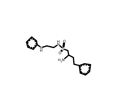 NC(CCc1ccccc1)CS(=O)(=O)NCCNc1ccccc1